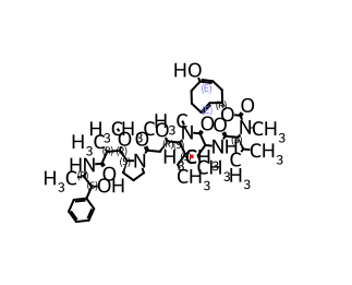 CC[C@H](C)[C@@H]([C@@H](CC(=O)N1CCC[C@H]1[C@H](OC)[C@@H](C)C(=O)N[C@H](C)[C@@H](O)c1ccccc1)OC)N(C)C(=O)C(NC(=O)[C@H](C(C)C)N(C)C(=O)O[C@H]1/C=C/CC/C(O)=C\C1)C(C)C